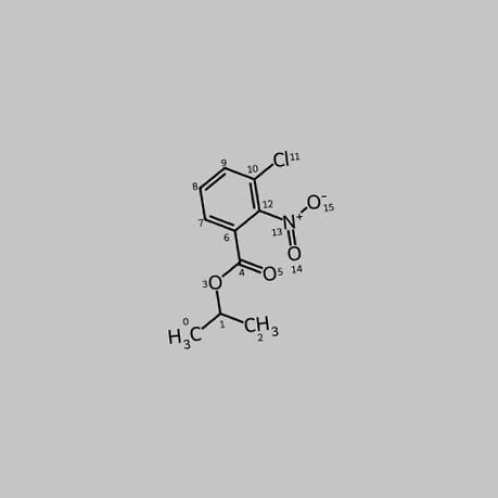 CC(C)OC(=O)c1cccc(Cl)c1[N+](=O)[O-]